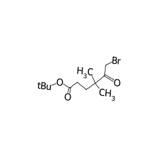 CC(C)(C)OC(=O)CCC(C)(C)C(=O)CBr